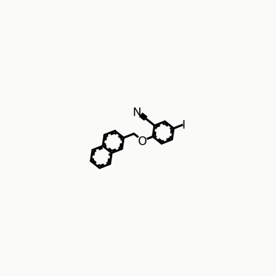 N#Cc1cc(I)ccc1OCc1ccc2ccccc2c1